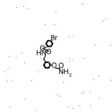 NC(=O)COc1cccc(CCNS(=O)(=O)c2ccc(Br)cc2)c1